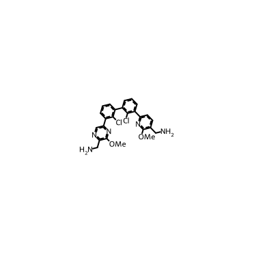 COc1nc(-c2cccc(-c3cccc(-c4cnc(CN)c(OC)n4)c3Cl)c2Cl)ccc1CN